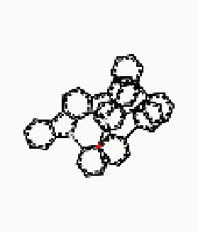 c1ccc(-c2ccccc2-n2c3ccccc3c3ccc4c5ccccc5n(-c5ccccc5-c5ccc6c7ccccc7c7ccccc7c6c5)c4c32)cc1